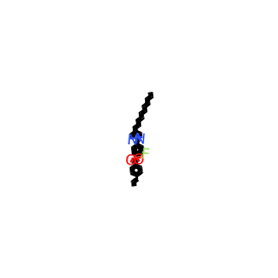 CCCCCCCCCCCc1cnc(-c2ccc(OC(=O)[C@H]3CC[C@H](CCC)CC3)c(F)c2)nc1